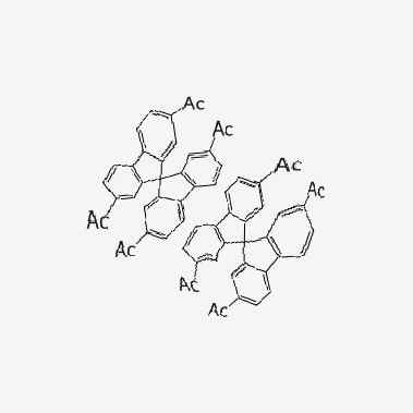 CC(=O)c1ccc2c(c1)C1(c3cc(C(C)=O)ccc3-2)c2cc(C(C)=O)ccc2-c2ccc(C(C)=O)cc21.CC(=O)c1ccc2c(c1)C1(c3cc(C(C)=O)ccc3-2)c2cc(C(C)=O)ccc2-c2ccc(C(C)=O)cc21